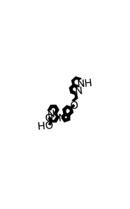 O=C(O)C=C(c1ccccn1)n1ccc2cc(OCCc3ccc4c(n3)NCCC4)ccc21